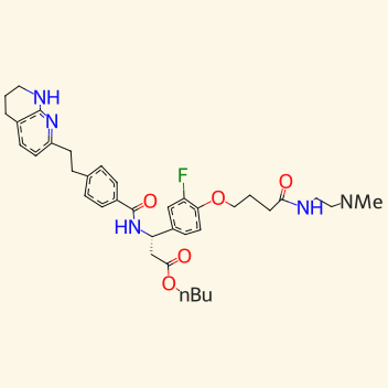 CCCCOC(=O)C[C@H](NC(=O)c1ccc(CCc2ccc3c(n2)NCCC3)cc1)c1ccc(OCCCC(=O)NCCNC)c(F)c1